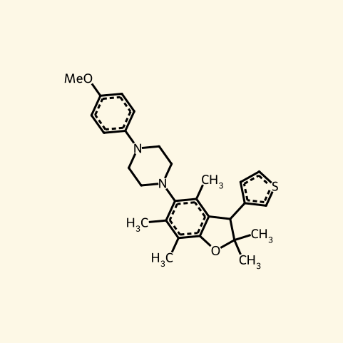 COc1ccc(N2CCN(c3c(C)c(C)c4c(c3C)C(c3ccsc3)C(C)(C)O4)CC2)cc1